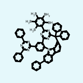 Bc1c(B)c(B)c(-c2nc3nc(n2)C(c2ccccc2)(c2ccccc2)c2ccc4c5ccc(-c6ccccc6)cc5n(c4c2)-c2ccc(-c4nc(-c5ccccc5)nc(-c5ccccc5)n4)cc2-3)c(B)c1B